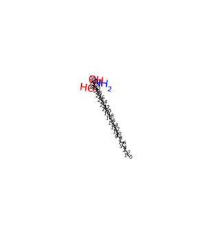 CCCCCCCCCCCCCCCCCCCCCCCCCCCCC/C=C/[C@@H](O)[C@@H](N)CO